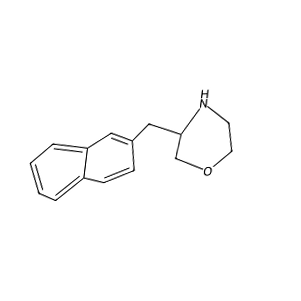 c1ccc2cc(CC3COCCN3)ccc2c1